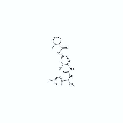 CC(NC(=S)Nc1ccc(NC(=O)c2ccccc2F)cc1Cl)c1ccc(F)cc1